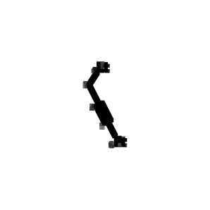 [CH2]CC#CCC[CH2]